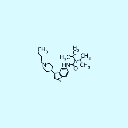 CCCCN1CCC(c2csc3ccc(NC(=O)N(C(C)C)C(C)C)cc23)CC1